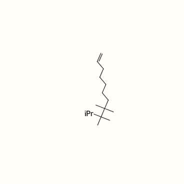 C=CCCCCCC(C)(C)C(C)(C)C(C)C